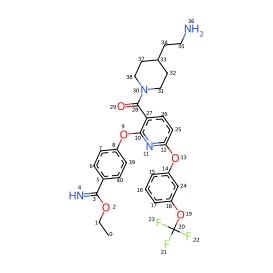 CCOC(=N)c1ccc(Oc2nc(Oc3cccc(OC(F)(F)F)c3)ccc2C(=O)N2CCC(CCN)CC2)cc1